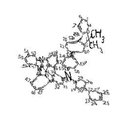 CC1(C)c2ccccc2-c2ccc(-c3ccc(N(c4ccc(-c5ccccc5)cc4)c4cccc5c4-c4ccccc4C54c5ccccc5-n5c4nc4ccccc45)cc3)cc21